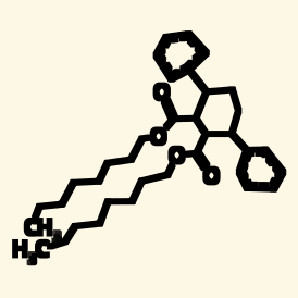 CCCCCCCCOC(=O)C1C(c2ccccc2)CCC(c2ccccc2)C1C(=O)OCCCCCCCC